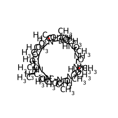 C/C=C/C[C@@H](C)C(=O)[C@H]1C(=O)N[C@@H](C(C)C)C(=O)N(C)CC(=O)N(C)[C@@H](CC(C)C)C(=O)N[C@@H](C(C)C)C(=O)N(C)[C@@H](CC(C)C)C(=O)N[C@@H](C)C(=O)N[C@H](C)C(=O)N(C)[C@@H](CC(C)C)C(=O)N(C)[C@@H](CC(C)C)C(=O)C(C)[C@@H](C(C)C)C(=O)C1C